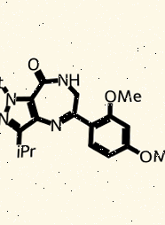 CCn1nc(C(C)C)c2c1C(=O)NCC(c1ccc(OC)cc1OC)=N2